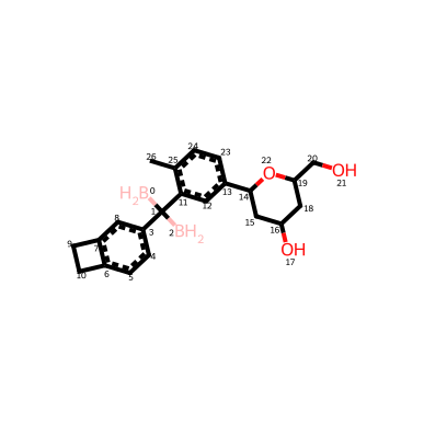 BC(B)(c1ccc2c(c1)CC2)c1cc(C2CC(O)CC(CO)O2)ccc1C